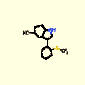 N#Cc1ccc2[nH]cc(-c3ccccc3SC(F)(F)F)c2c1